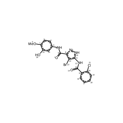 COc1ccc(NC(=O)c2n[nH]c(NC(=O)c3ccccc3Cl)c2Br)cc1O